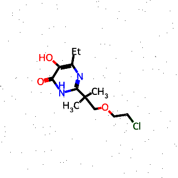 [CH2]Cc1nc(C(C)(C)COCCCl)[nH]c(=O)c1O